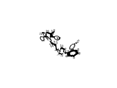 COc1ccccc1N1CCN(CCCn2c(=O)c(C)cn(C)c2=O)CC1